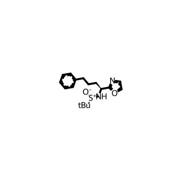 CC(C)(C)[S@+]([O-])N[C@@H](CCCc1ccccc1)c1ncco1